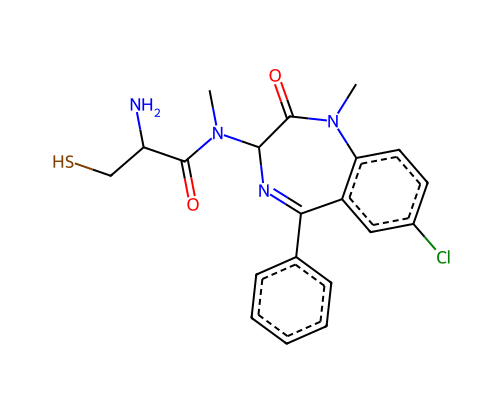 CN1C(=O)C(N(C)C(=O)C(N)CS)N=C(c2ccccc2)c2cc(Cl)ccc21